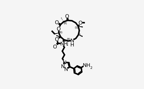 CC[C@H]1OC(=O)[C@H](C)C(=O)CC[C@](C)(OC)C[C@@H](C)CN[C@H](C)[C@H]2N(CCCCn3cc(-c4cccc(N)c4)nn3)C(=O)O[C@]12C